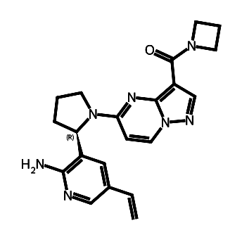 C=Cc1cnc(N)c([C@H]2CCCN2c2ccn3ncc(C(=O)N4CCC4)c3n2)c1